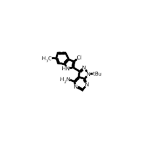 Cc1ccc2c(Cl)c(-c3nn(C(C)(C)C)c4ncnc(N)c34)[nH]c2c1